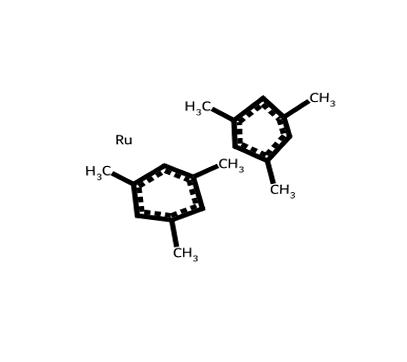 Cc1cc(C)cc(C)c1.Cc1cc(C)cc(C)c1.[Ru]